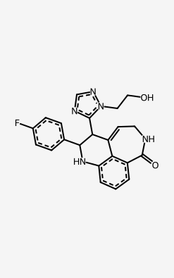 O=C1NCC=C2c3c(cccc31)NC(c1ccc(F)cc1)C2c1ncnn1CCO